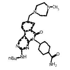 CCCCNc1ncc2c3ccc(CN4CCN(C)CC4)cc3c(=O)n(C3CCC(C(N)=O)CC3)c2n1